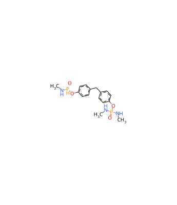 CN[PH](=O)Oc1ccc(Cc2ccc(OP(=O)(NC)NC)cc2)cc1